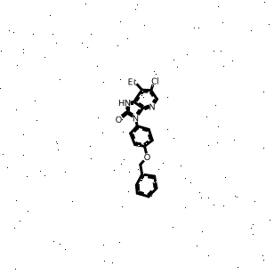 CCc1c(Cl)cnc2c1[nH]c(=O)n2-c1ccc(OCc2ccccc2)cc1